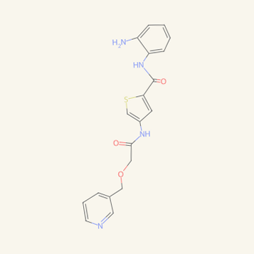 Nc1ccccc1NC(=O)c1cc(NC(=O)COCc2cccnc2)cs1